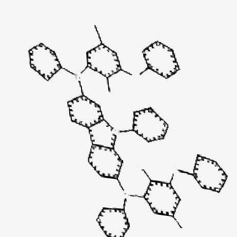 Cc1cc(Oc2ccccc2)c(Cl)c(N(c2ccccc2)c2ccc3c4ccc(N(c5ccccc5)c5cc(C)cc(Oc6ccccc6)c5Cl)cc4n(-c4ccccc4)c3c2)c1